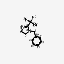 FC(F)(Br)C1=NCCN1Cc1ccccc1